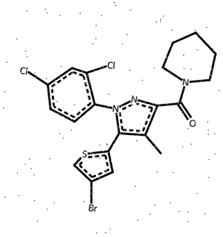 Cc1c(C(=O)N2CCCCC2)nn(-c2ccc(Cl)cc2Cl)c1-c1cc(Br)cs1